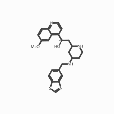 COc1ccc2nccc([C@H](O)CC3CC(NCc4ccc5scnc5c4)CCN3)c2c1